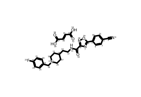 N#Cc1ccc(-c2nc(C(=O)NCCC3CCN(Cc4ccc(F)cc4)CC3)no2)cc1.O=C(O)C=CC(=O)O